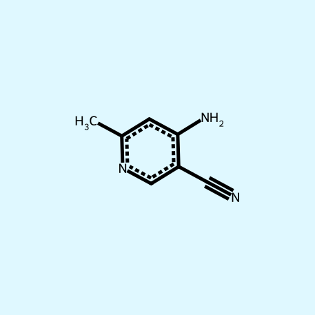 Cc1cc(N)c(C#N)cn1